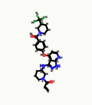 C=CC(=O)N1CCC[C@@H](Nc2n[nH]c3nccc(Oc4ccc(C(=O)N5CCCC(C(F)(F)F)C5)cc4)c23)C1